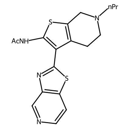 CCCN1CCc2c(sc(NC(C)=O)c2-c2nc3cnccc3s2)C1